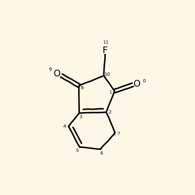 O=C1C2=C(C=CC[CH]2)C(=O)C1F